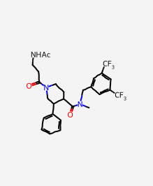 CC(=O)NCCC(=O)N1CCC(C(=O)N(C)Cc2cc(C(F)(F)F)cc(C(F)(F)F)c2)C(c2ccccc2)C1